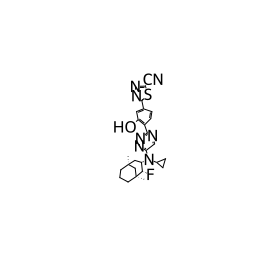 C[C@@]12CCC[C@@](C)(C1)[C@@H](F)[C@@H](N(c1cnc(-c3ccc(-c4nnc(C#N)s4)cc3O)nn1)C1CC1)C2